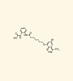 Cc1ncnc2c(OCCCCCCC(=O)Nc3ccccc3NC(=O)O)cc(Br)cc12